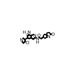 CN1C(=O)CCC12CCC(=CC(=O)Nc1cc3cc(-c4cnccc4Cl)cc(N)c3cn1)CC2